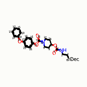 CCCCCCCCCCCCNC(=O)OC1CCN(C(=O)Oc2ccc(Oc3ccccc3)cc2)CC1